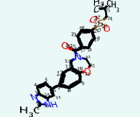 Cc1nc2ccc(-c3ccc4c(c3)CN(C(=O)c3ccc(S(=O)(=O)CC(C)C)cc3)CCO4)cc2[nH]1